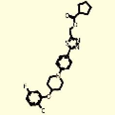 O=C(OCc1nnc(-c2ccc(N3CCC(Oc4cc(F)ccc4Cl)CC3)cc2)s1)C1CCCC1